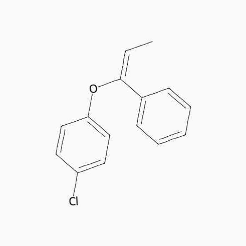 CC=C(Oc1ccc(Cl)cc1)c1ccccc1